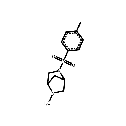 CN1CC2CC1CN2S(=O)(=O)c1ccc(I)cc1